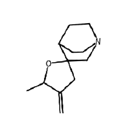 C=C1CC2(CN3CCC2CC3)OC1C